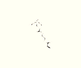 C=CC(=O)OCCNC(=O)OCP(=O)(OCC)OCC